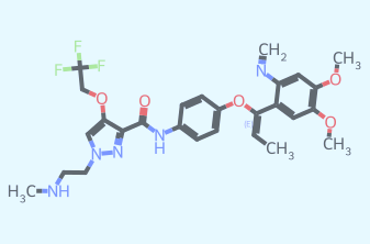 C=Nc1cc(OC)c(OC)cc1/C(=C\C)Oc1ccc(NC(=O)c2nn(CCNC)cc2OCC(F)(F)F)cc1